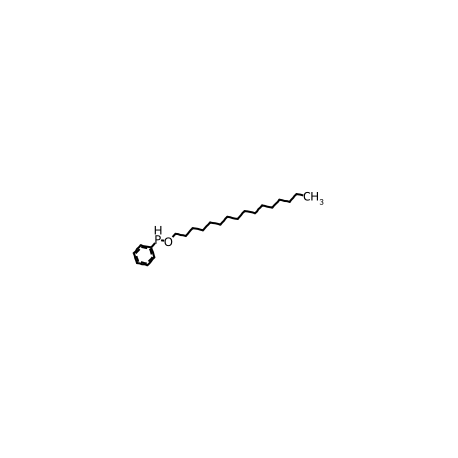 CCCCCCCCCCCCCCCCOPc1ccccc1